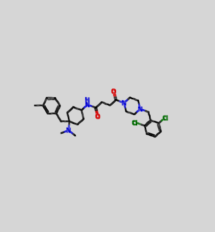 Cc1cccc(CC2(N(C)C)CCC(NC(=O)CCC(=O)N3CCN(Cc4c(Cl)cccc4Cl)CC3)CC2)c1